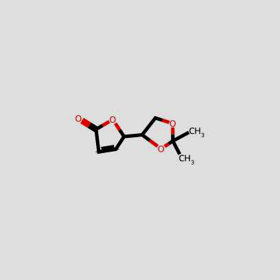 CC1(C)OCC(C2[C]=[C]C(=O)O2)O1